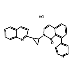 Cl.O=c1c2c(-c3ccncc3)cccc2ccn1C1CC1c1ccc2ccccc2n1